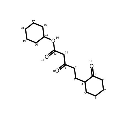 O=C(CCC1CCCCC1=O)CC(=O)OC1CCCCC1